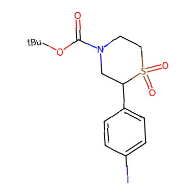 CC(C)(C)OC(=O)N1CCS(=O)(=O)C(c2ccc(I)cc2)C1